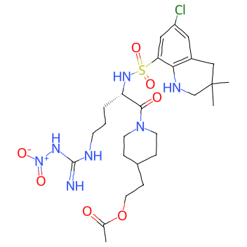 CC(=O)OCCC1CCN(C(=O)[C@H](CCCNC(=N)N[N+](=O)[O-])NS(=O)(=O)c2cc(Cl)cc3c2NCC(C)(C)C3)CC1